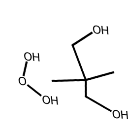 CC(C)(CO)CO.OOO